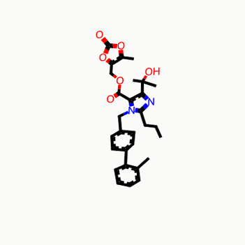 CCCc1nc(C(C)(C)O)c(C(=O)OCc2oc(=O)oc2C)n1Cc1ccc(-c2ccccc2C)cc1